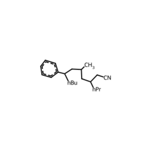 CCCCC(CC(C)CC(CC#N)CCC)c1ccccc1